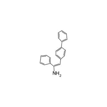 N/C(=C/c1ccc(-c2ccccc2)cc1)c1ccccc1